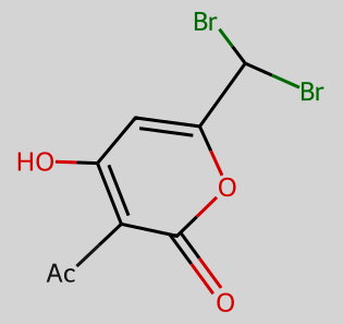 CC(=O)c1c(O)cc(C(Br)Br)oc1=O